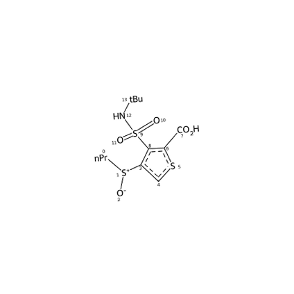 CCC[S+]([O-])c1csc(C(=O)O)c1S(=O)(=O)NC(C)(C)C